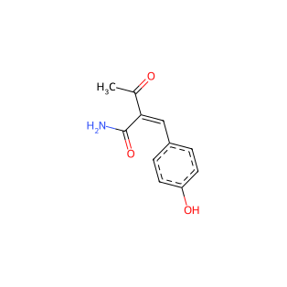 CC(=O)/C(=C/c1ccc(O)cc1)C(N)=O